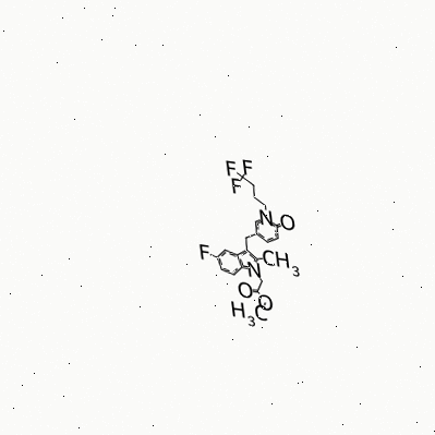 COC(=O)Cn1c(C)c(Cc2ccc(=O)n(CCCC(F)(F)F)c2)c2cc(F)ccc21